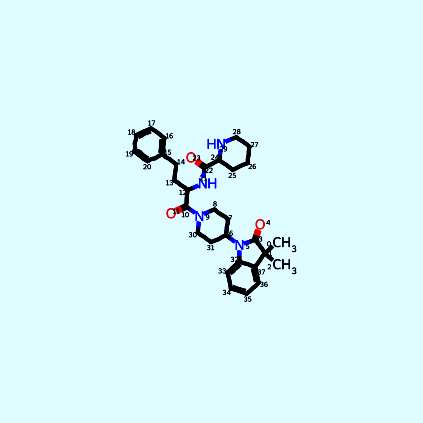 CC1(C)C(=O)N(C2CCN(C(=O)C(CCc3ccccc3)NC(=O)C3CCCCN3)CC2)c2ccccc21